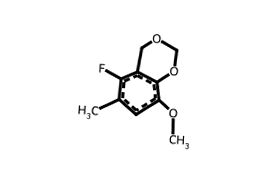 COc1cc(C)c(F)c2c1OCOC2